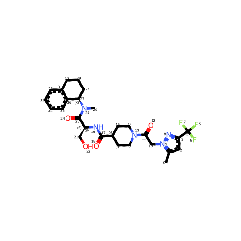 Cc1cc(C(F)(F)F)nn1CC(=O)N1CCC(C(=O)N[C@@H](CO)C(=O)N(C)[C@@H]2CCCc3ccccc32)CC1